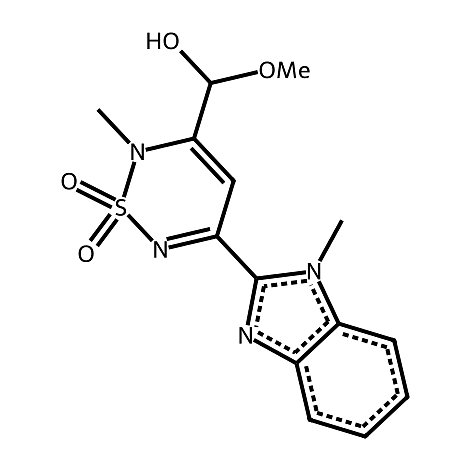 COC(O)C1=CC(c2nc3ccccc3n2C)=NS(=O)(=O)N1C